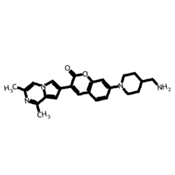 Cc1cn2cc(-c3cc4ccc(N5CCC(CN)CC5)cc4oc3=O)cc2c(C)n1